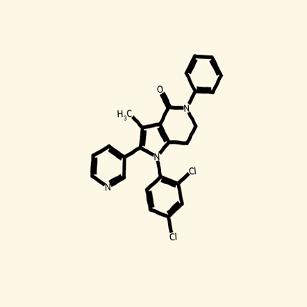 Cc1c2c(n(-c3ccc(Cl)cc3Cl)c1-c1cccnc1)CCN(c1ccccc1)C2=O